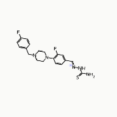 NC(=S)N/N=C/c1ccc(N2CCN(Cc3ccc(F)cc3)CC2)c(F)c1